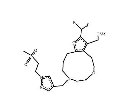 COCc1c(C(F)F)sc2c1CCOCCN(Cc1cnn(CCS(C)(=O)=O)c1)CCC2